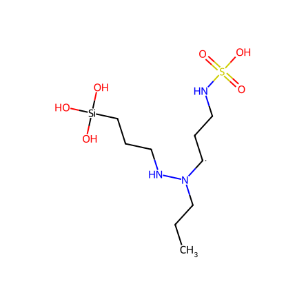 CCCN([CH]CCNS(=O)(=O)O)NCCC[Si](O)(O)O